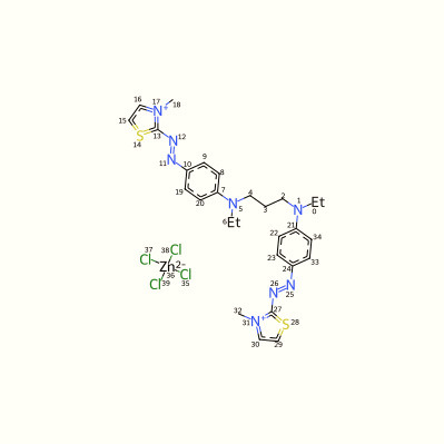 CCN(CCCN(CC)c1ccc(N=Nc2scc[n+]2C)cc1)c1ccc(N=Nc2scc[n+]2C)cc1.[Cl][Zn-2]([Cl])([Cl])[Cl]